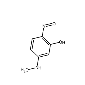 CNc1ccc(N=O)c(O)c1